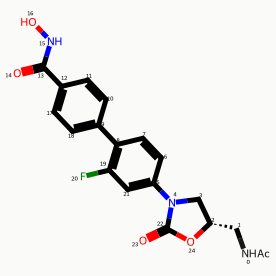 CC(=O)NC[C@H]1CN(c2ccc(-c3ccc(C(=O)NO)cc3)c(F)c2)C(=O)O1